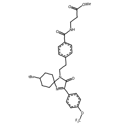 COC(=O)CCNC(=O)c1ccc(CCN2C(=O)C(c3ccc(OC(F)(F)F)cc3)=NC23CCC(C(C)(C)C)CC3)cc1